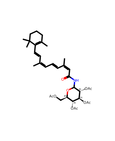 CC(=O)OC[C@H]1OC(NC(=O)C=C(C)C=CC=C(C)C=CC2=C(C)CCCC2(C)C)[C@H](OC(C)=O)[C@@H](OC(C)=O)[C@@H]1OC(C)=O